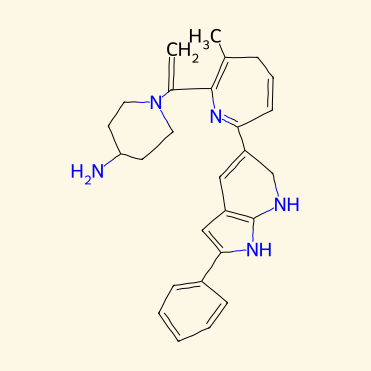 C=C(C1=C(C)CC=CC(C2=Cc3cc(-c4ccccc4)[nH]c3NC2)=N1)N1CCC(N)CC1